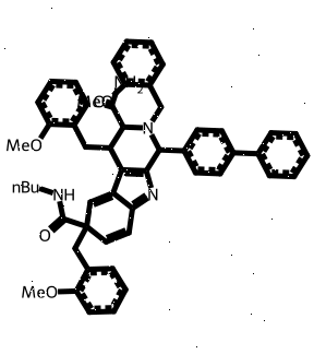 CCCCNC(=O)C1(Cc2ccccc2OC)C=CC2=NC3=C(C2=C1)C(Cc1ccccc1OC)C(C(N)=O)N(Cc1ccccc1OC)C3c1ccc(-c2ccccc2)cc1